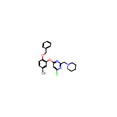 N#Cc1ccc(OCc2ccccc2)c(Oc2cc(Cl)nc(CN3CCCCC3)n2)c1